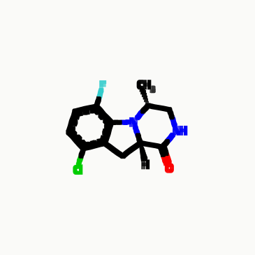 C[C@@H]1CNC(=O)[C@@H]2Cc3c(Cl)ccc(F)c3N12